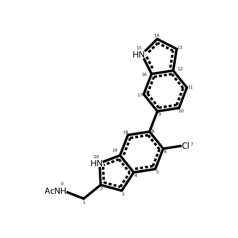 CC(=O)NCc1cc2cc(Cl)c(-c3ccc4cc[nH]c4c3)cc2[nH]1